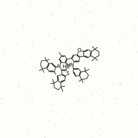 Cc1cc(-c2cc3oc4cc5c(cc4c3cc2Nc2ccc3c(c2)C(C)(C)CCC3(C)C)C(C)(C)CCC5(C)C)c2c(c1)N(c1cc3c(cc1C)C(C)(C)CCC3(C)C)c1c(sc3cc4c(cc13)C(C)(C)CCC4(C)C)B2